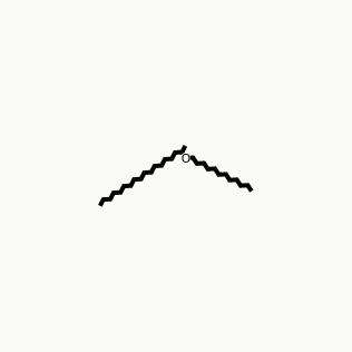 CCCCCCCCCCCCCCCCC(C)OCCCCCCCCCCCC